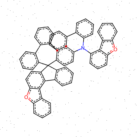 c1ccc(-c2ccccc2N(c2ccc3c(c2)-c2ccccc2-c2ccccc2C32c3ccccc3-c3c2ccc2oc4ccccc4c32)c2cccc3oc4ccccc4c23)cc1